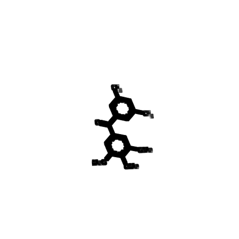 COc1cc(C(=O)c2cc(C(F)(F)F)cc(C(F)(F)F)c2)cc(OC)c1OC